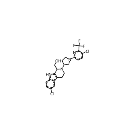 OCC1c2[nH]c3ccc(Cl)cc3c2CCN1C1CCN(c2ccc(Cl)c(C(F)(F)F)n2)C1